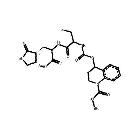 COC(=O)C(C[C@@H]1CCNC1=O)NC(=O)C(CC(C)C)NC(=O)OC1CCN(C(=O)OC(C)(C)C)c2ccccc21